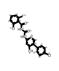 Cc1cc(NC(=O)NC(=O)c2c(F)cccc2Cl)ncc1-c1ccc(Cl)cc1